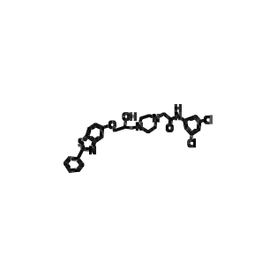 O=C(CN1CCN(CC(O)COc2ccc3sc(-c4ccccc4)nc3c2)CC1)Nc1cc(Cl)cc(Cl)c1